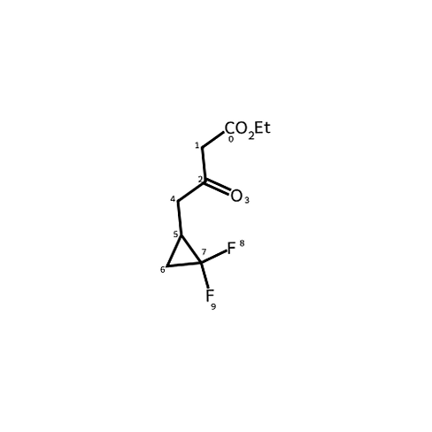 CCOC(=O)CC(=O)CC1CC1(F)F